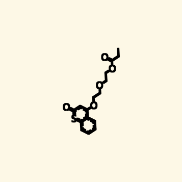 CCC(=O)OCCOCCOc1cc(=O)sc2ccccc12